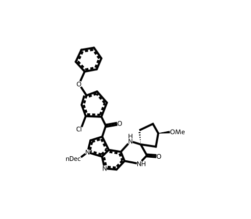 CCCCCCCCCCn1cc(C(=O)c2ccc(Oc3ccccc3)cc2Cl)c2c3c(cnc21)NC(=O)[C@@]1(CC[C@@H](OC)C1)N3